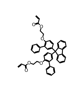 C=CC(=O)OCCOc1ccc(C2(c3ccc(OCCOC(=O)C=C)c(-c4ccccc4)c3)c3ccccc3-c3ccccc32)cc1-c1ccccc1